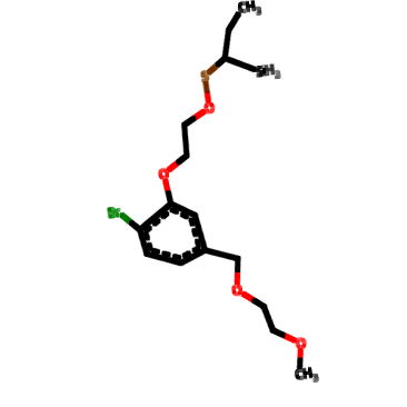 CCC([SiH3])SOCCOc1cc(COCCOC)ccc1Br